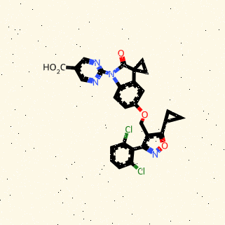 O=C(O)c1cnc(N2C(=O)C3(CC3)c3cc(OCc4c(-c5c(Cl)cccc5Cl)noc4C4CC4)ccc32)nc1